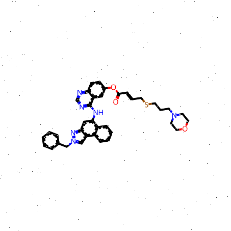 O=C(C=CCSCCCN1CCOCC1)Oc1ccc2ncnc(Nc3cc4nn(Cc5ccccc5)cc4c4ccccc34)c2c1